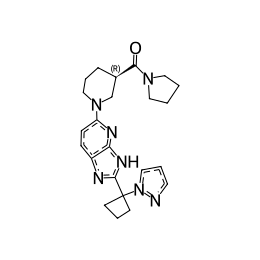 O=C([C@@H]1CCCN(c2ccc3nc(C4(n5cccn5)CCC4)[nH]c3n2)C1)N1CCCC1